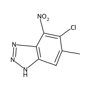 Cc1cc2[nH]nnc2c([N+](=O)[O-])c1Cl